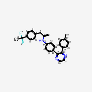 C=C(Cc1ccc(C(F)(F)CC)cc1)Nc1ccc(-c2nccnc2-c2ccc(C)cc2)cc1